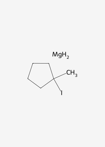 CC1(I)CCCC1.[MgH2]